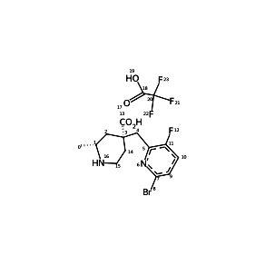 C[C@@H]1C[C@](Cc2nc(Br)ccc2F)(C(=O)O)CCN1.O=C(O)C(F)(F)F